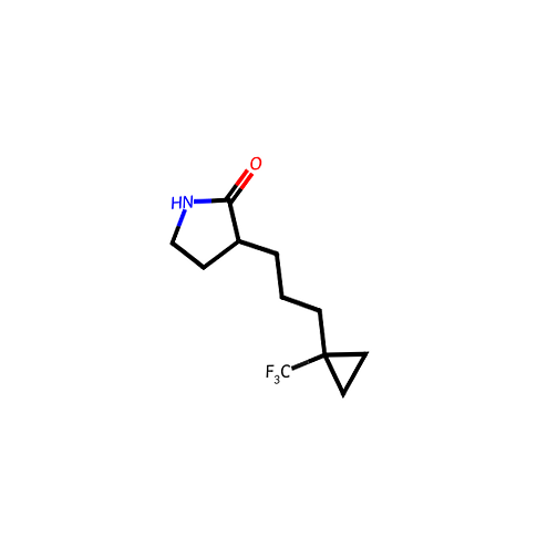 O=C1NCCC1CCCC1(C(F)(F)F)CC1